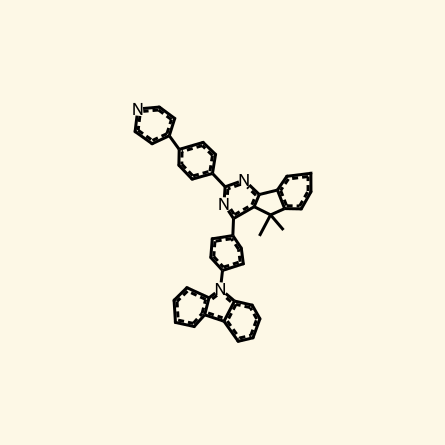 CC1(C)c2ccccc2-c2nc(-c3ccc(-c4ccncc4)cc3)nc(-c3ccc(-n4c5ccccc5c5ccccc54)cc3)c21